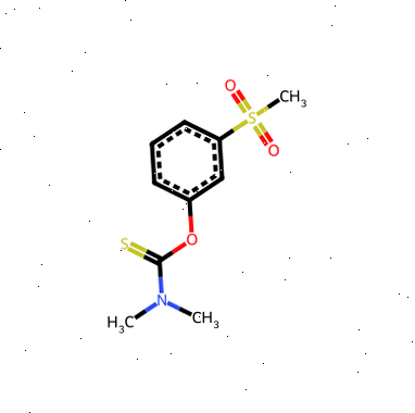 CN(C)C(=S)Oc1cccc(S(C)(=O)=O)c1